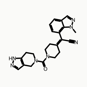 Cn1ncc2cccc(C(C#N)=C3CCN(C(=O)N4CCc5[nH]ncc5C4)CC3)c21